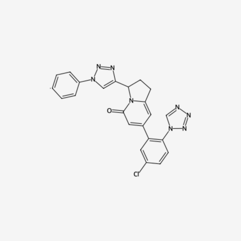 O=c1cc(-c2cc(Cl)ccc2-n2cnnn2)cc2n1C(c1cn(-c3cc[c]cc3)nn1)CC2